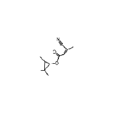 CC(C#N)=CC(=O)OC1C(C)C1(C)C